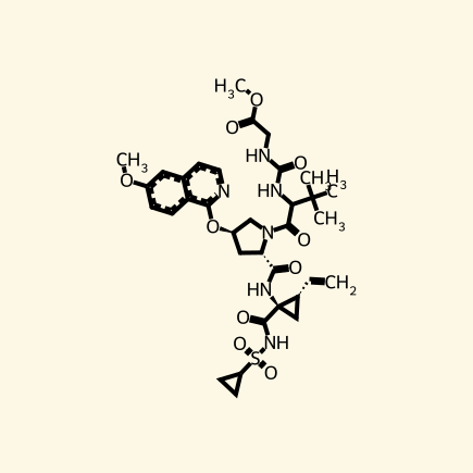 C=C[C@@H]1C[C@]1(NC(=O)[C@@H]1C[C@@H](Oc2nccc3cc(OC)ccc23)CN1C(=O)C(NC(=O)NCC(=O)OC)C(C)(C)C)C(=O)NS(=O)(=O)C1CC1